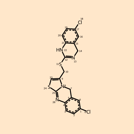 Clc1ccc2c(c1)CN1C(CSC3=NCc4cc(Cl)ccc4N3)=CSC1=N2